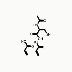 C=CC(=O)O.C=CC(=O)O.CC(=O)NC(CS)C(=O)O